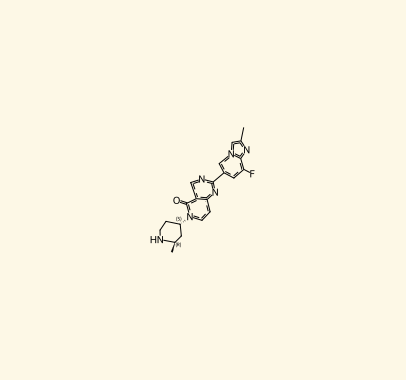 Cc1cn2cc(-c3ncc4c(=O)n([C@H]5CCN[C@H](C)C5)ccc4n3)cc(F)c2n1